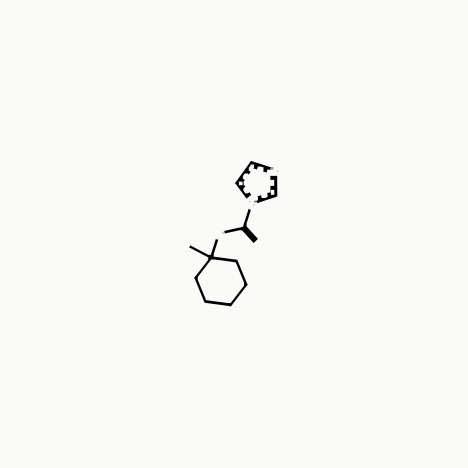 CC1(OC(=O)n2ccnc2)CCCCC1